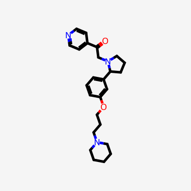 O=C(CN1CCCC1c1cccc(OCCCN2CCCCC2)c1)c1ccncc1